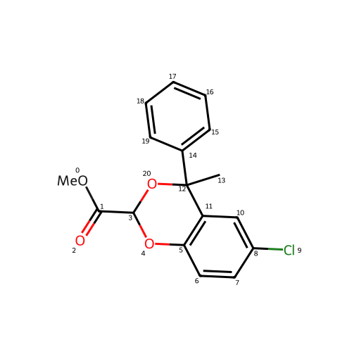 COC(=O)C1Oc2ccc(Cl)cc2C(C)(c2ccccc2)O1